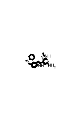 Cc1nc2c(-c3cc4cc(CN(C)C5CCCCC5)ccc4[nH]3)cc(N)nc2[nH]1